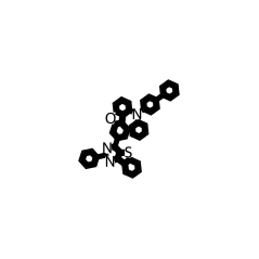 c1ccc(-c2ccc(N(c3ccccc3)c3cccc4oc5cc(-c6nc(-c7ccccc7)nc7c6sc6ccccc67)ccc5c34)cc2)cc1